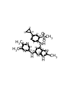 Cc1nc2c(Nc3ccc(C4CC4)cc3S(C)(=O)=O)cc(Nc3cnc(C)c(C)n3)nc2[nH]1